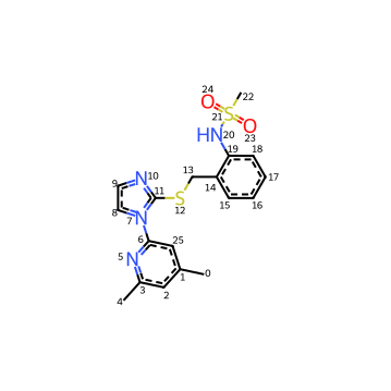 Cc1cc(C)nc(-n2ccnc2SCc2ccccc2NS(C)(=O)=O)c1